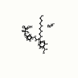 CCCCCCCCCN(CCc1csc(SC(C)(C)C(=O)O)n1)c1ncc(CC)cn1.[Br-].[H+]